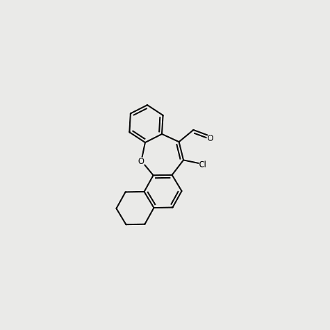 O=CC1=C(Cl)c2ccc3c(c2Oc2ccccc21)CCCC3